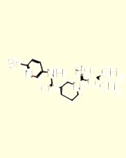 CC(C)(C)OC(=O)N1CCC[C@H](C(=O)Nc2ccc(Br)nc2)C1